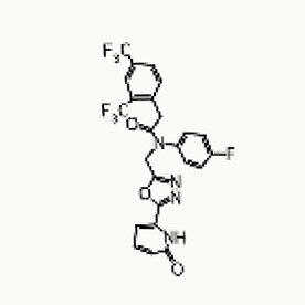 O=C(Cc1ccc(C(F)(F)F)cc1C(F)(F)F)N(Cc1nnc(-c2cccc(=O)[nH]2)o1)c1ccc(F)cc1